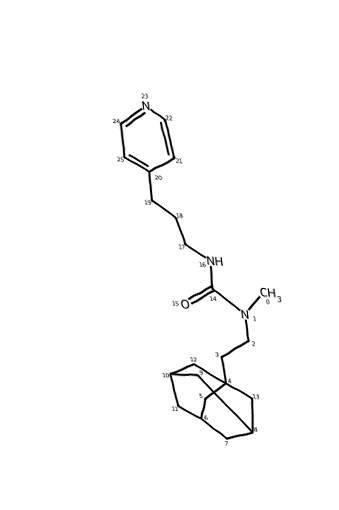 CN(CCC12CC3CC(CC(C3)C1)C2)C(=O)NCCCc1ccncc1